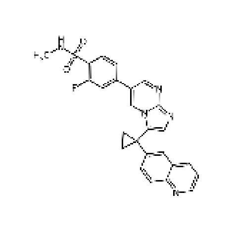 CNS(=O)(=O)c1ccc(-c2cnc3ncc(C4(c5ccc6ncccc6c5)CC4)n3c2)cc1F